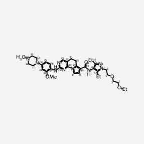 CCOCCOCCn1nc(CC)c(NC(=O)c2ccn3c2CCc2cnc(Nc4ccc(N5CCN(C)CC5)cc4OC)nc2-3)c1CC